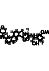 COc1cc(F)cc([C@@H](CO)NC(=O)[C@@H](C)N2Cc3ccc(-c4nc(NC5CCOCC5)ncc4F)c(F)c3C2=O)c1